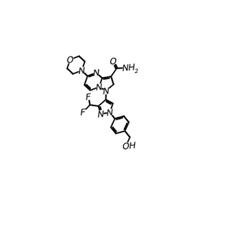 NC(=O)C1=C2N=C(N3CCOCC3)C=CN2N(c2cn(-c3ccc(CO)cc3)nc2C(F)F)C1